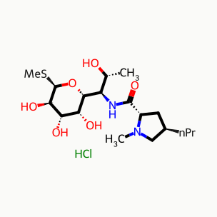 CCC[C@@H]1C[C@@H](C(=O)N[C@@H]([C@H]2O[C@H](SC)[C@H](O)[C@@H](O)[C@H]2O)[C@@H](C)O)N(C)C1.Cl